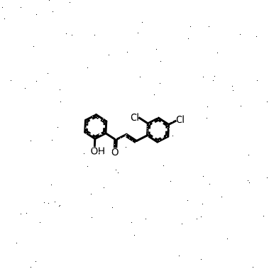 O=C(C=Cc1ccc(Cl)cc1Cl)c1ccccc1O